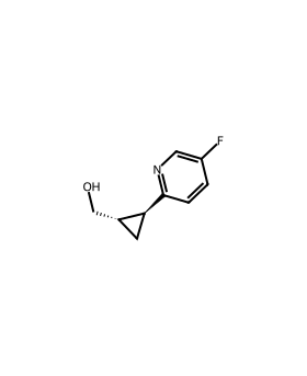 OC[C@H]1C[C@@H]1c1ccc(F)cn1